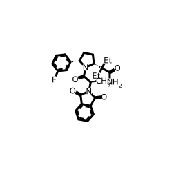 CCC(CC)(C(N)=O)[C@H]1CC[C@@H](c2cccc(F)c2)N1C(=O)[C@@H](C)N1C(=O)c2ccccc2C1=O